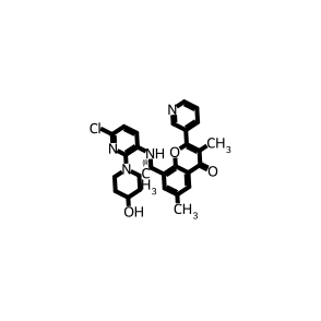 Cc1cc([C@@H](C)Nc2ccc(Cl)nc2N2CCC(O)CC2)c2oc(-c3cccnc3)c(C)c(=O)c2c1